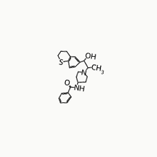 CC(C(O)c1ccc2c(c1)CCCS2)N1CCC(NC(=O)c2ccccc2)CC1